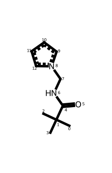 CC(C)(C)C(=O)NCn1cccc1